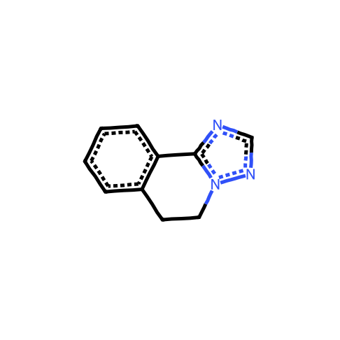 c1ccc2c(c1)CCn1ncnc1-2